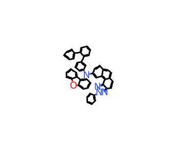 c1ccc(-c2ccccc2-c2cccc(N(c3ccc4ccc5ccc6nn(-c7ccccc7)nc6c5c4c3)c3cccc4oc5ccccc5c34)c2)cc1